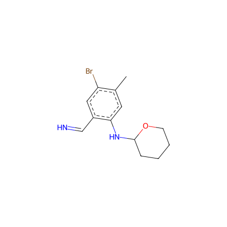 Cc1cc(NC2CCCCO2)c(C=N)cc1Br